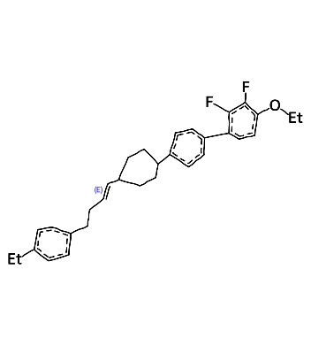 CCOc1ccc(-c2ccc(C3CCC(/C=C/CCc4ccc(CC)cc4)CC3)cc2)c(F)c1F